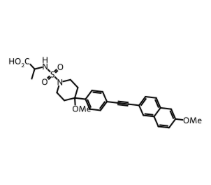 COc1ccc2cc(C#Cc3ccc(C4(OC)CCN(S(=O)(=O)NC(C)C(=O)O)CC4)cc3)ccc2c1